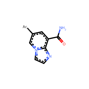 CC(=O)c1cc(C(N)=O)c2nccn2c1